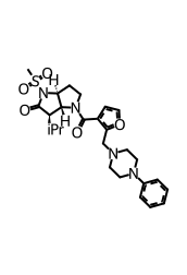 CC(C)[C@H]1C(=O)N(S(C)(=O)=O)[C@H]2CCN(C(=O)c3ccoc3CN3CCN(c4ccccc4)CC3)[C@H]12